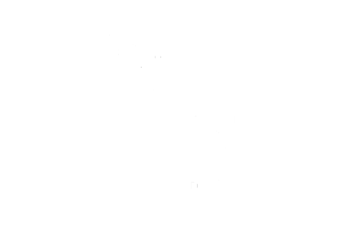 C=C(CSCCOC(=O)CS(C)(=O)=O)C(=O)OC1(CC)CCCC1